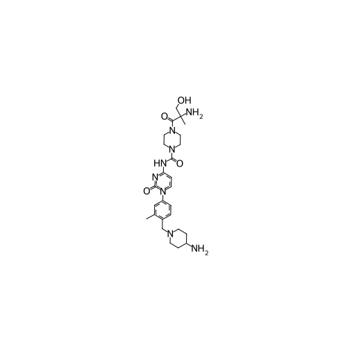 Cc1cc(-n2ccc(NC(=O)N3CCN(C(=O)C(C)(N)CO)CC3)nc2=O)ccc1CN1CCC(N)CC1